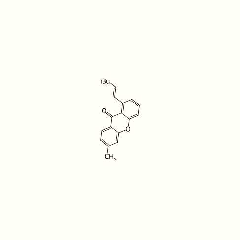 CCC(C)C=Cc1cccc2oc3cc(C)ccc3c(=O)c12